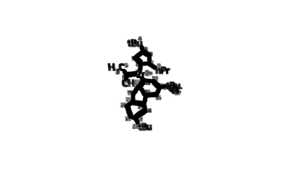 CCCC1C=C(C(C)(C)C)C=[C]1[Zr+2](=[C](C)C)[c]1cc(C(C)(C)C)cc2c1Cc1ccc(C(C)(C)C)cc1-2.[Cl-].[Cl-]